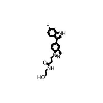 O=C(CCn1ncc2cc(-c3c[nH]c4cc(F)ccc34)ccc21)NCCO